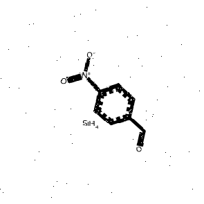 O=Cc1ccc([N+](=O)[O-])cc1.[SiH4]